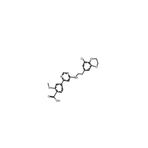 CSc1cc(-c2cc(NCCc3cc(Cl)c4c(c3)OCCO4)ncn2)ccc1C(=O)O